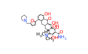 CN(C)[C@H]1C(O)=C(C(N)=O)C(=O)[C@@]2(O)C(O)=C3C(=O)c4c(O)ccc(-c5ccc(CN6CCCC6)o5)c4CC3C[C@@H]12